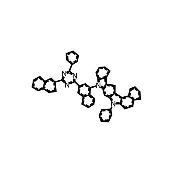 c1ccc(-c2nc(-c3ccc4ccccc4c3)nc(-c3cc(-n4c5ccccc5c5cc6c7c8ccccc8ccc7n(-c7ccccc7)c6cc54)c4ccccc4c3)n2)cc1